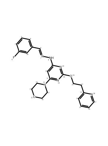 Fc1cccc(C=NNc2cc(N3CCOCC3)nc(OCCc3ccccn3)n2)c1